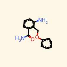 NC(=O)c1cccc(N)c1COc1ccccc1